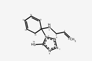 C=CCNC1(n2nnnc2S)C=CC=CC1